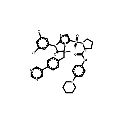 C[C@@]1(Cc2ccc(-c3cncnc3)cc2)C(=O)N(c2cc(Cl)cc(Cl)c2)c2ncc(S(=O)(=O)N3CCC[C@H]3C(=O)Nc3ccc(N4CCCCC4)cc3)n21